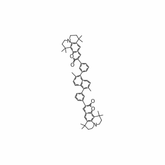 Cc1ccc2c(-c3cccc(-c4cc5cc6c7c(c5oc4=O)C(C)(C)CCN7CCC6(C)C)c3)c(C)ccc2c1-c1cccc(-c2cc3cc4c5c(c3oc2=O)C(C)(C)CCN5CCC4(C)C)c1